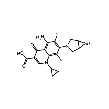 Nc1c(F)c(N2CC3NC3C2)c(F)c2c1c(=O)c(C(=O)O)cn2C1CC1